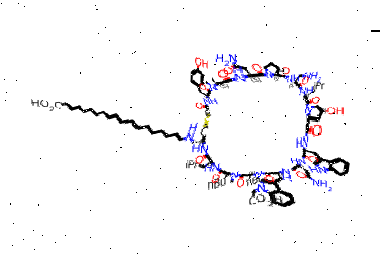 CCCC[C@H]1C(=O)N(C)[C@@H](CCCC)C(=O)N[C@@H](CC(C)C)C(=O)N[C@H](CNCCCCCCCCCCCCCCCCCCC(=O)O)CSCC(=O)N[C@@H](Cc2ccc(O)cc2)C(=O)N(C)[C@@H](C)C(=O)N[C@@H](CC(N)=O)C(=O)N2CCC[C@H]2C(=O)N[C@@H](CN)C(=O)N[C@H](CC(C)C)C(=O)N2C[C@H](O)CC2C(=O)N[C@@H](Cc2c[nH]c3ccccc23)C(=O)N[C@@H](CCN)C(=O)N[C@@H](Cc2cn(CC(=O)O)c3ccccc23)C(=O)N1C